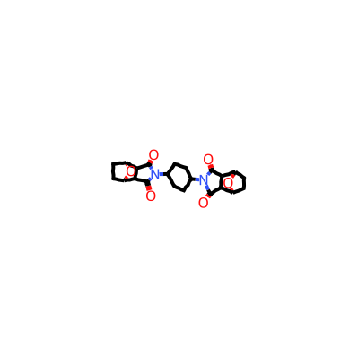 O=C1C2C3CCC(O3)C2C(=O)N1C1CCC(N2C(=O)C3C4CCC(O4)C3C2=O)CC1